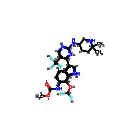 COC(=O)Nc1ccc2c(-c3nc(NC4CCC(C)(C)NC4)ncc3C(F)(F)F)c[nH]c2c1OC(F)F